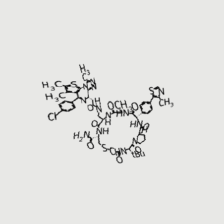 Cc1ncsc1-c1ccc([C@@H]2NC(=O)[C@@H]3CCCN3C(=O)C(C(C)(C)C)NC(=O)CSC[C@H](C(N)=O)NC(=O)C(CNC(=O)C[C@@H]3N=C(c4ccc(Cl)cc4)c4c(sc(C)c4C)-n4c(C)nnc43)NC(=O)[C@@H](C)NC2=O)cc1